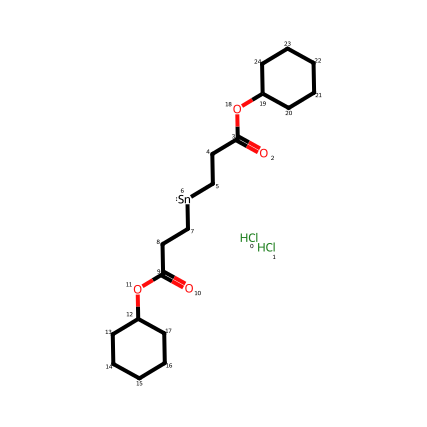 Cl.Cl.O=C(C[CH2][Sn][CH2]CC(=O)OC1CCCCC1)OC1CCCCC1